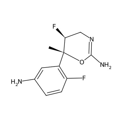 C[C@]1(c2cc(N)ccc2F)OC(N)=NC[C@@H]1F